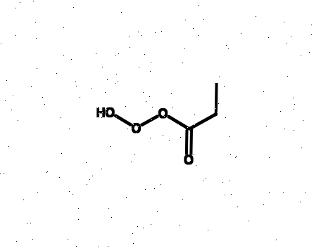 CCC(=O)OOO